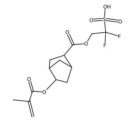 C=C(C)C(=O)OC1CC2CC1CC2C(=O)OCC(F)(F)S(=O)(=O)O